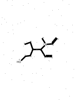 C=CC(C(CC)CCO)N(C)C=C